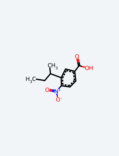 CCC(C)c1cc(C(=O)O)ccc1[N+](=O)[O-]